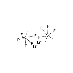 F[As-](F)(F)(F)(F)F.F[As-](F)(F)(F)(F)F.[Li+].[Li+]